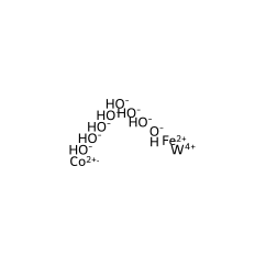 [Co+2].[Fe+2].[OH-].[OH-].[OH-].[OH-].[OH-].[OH-].[OH-].[OH-].[W+4]